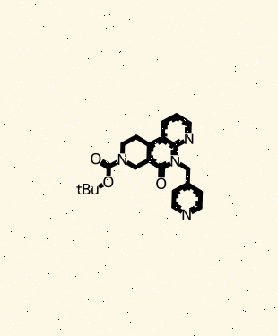 CC(C)(C)OC(=O)N1CCc2c(c(=O)n(Cc3ccncc3)c3ncccc23)C1